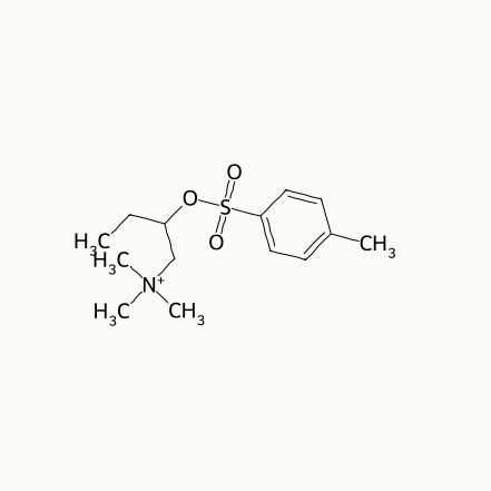 CCC(C[N+](C)(C)C)OS(=O)(=O)c1ccc(C)cc1